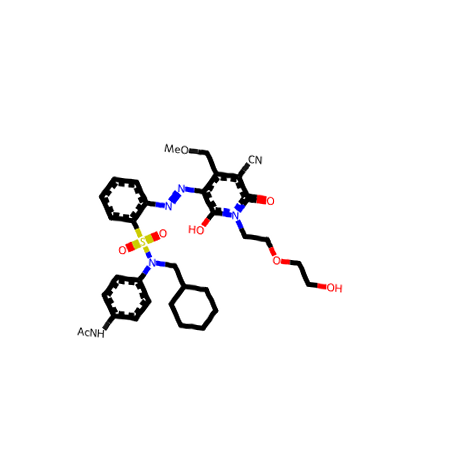 COCc1c(/N=N/c2ccccc2S(=O)(=O)N(CC2CCCCC2)c2ccc(NC(C)=O)cc2)c(O)n(CCOCCO)c(=O)c1C#N